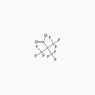 [O]C(=O)C(C(F)(F)F)(C(F)(F)F)C(F)(F)F